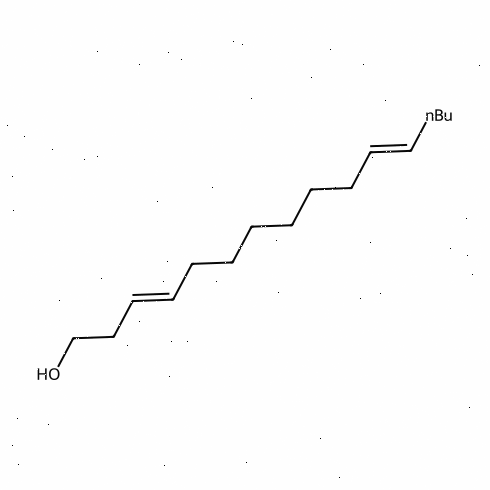 CCCC/C=C/CCCCCC/C=C/CCO